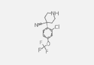 N#CC1(c2ccc(OC(F)(F)F)cc2Cl)CCNCC1